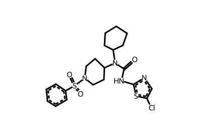 O=C(Nc1ncc(Cl)s1)N(C1CCCCC1)C1CCN(S(=O)(=O)c2ccccc2)CC1